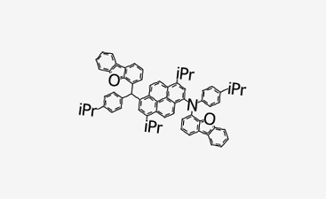 CC(C)c1ccc(C(c2cc(C(C)C)c3ccc4c(N(c5ccc(C(C)C)cc5)c5cccc6c5oc5ccccc56)cc(C(C)C)c5ccc2c3c54)c2cccc3c2oc2ccccc23)cc1